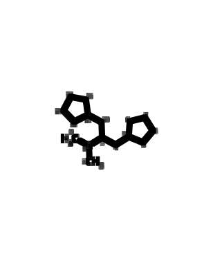 CB(C)C(CC1CCCC1)CC1CCCC1